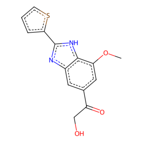 COc1cc(C(=O)CO)cc2nc(-c3cccs3)[nH]c12